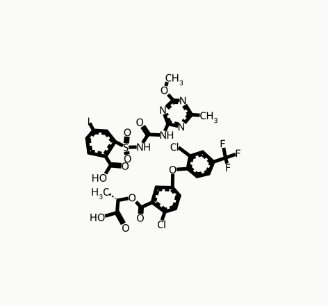 COc1nc(C)nc(NC(=O)NS(=O)(=O)c2cc(I)ccc2C(=O)O)n1.C[C@H](OC(=O)c1cc(Oc2ccc(C(F)(F)F)cc2Cl)ccc1Cl)C(=O)O